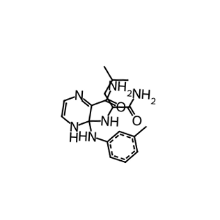 Cc1cccc(NC2(NC(CC(C)C)C(N)=O)NC=CN=C2C(N)=O)c1